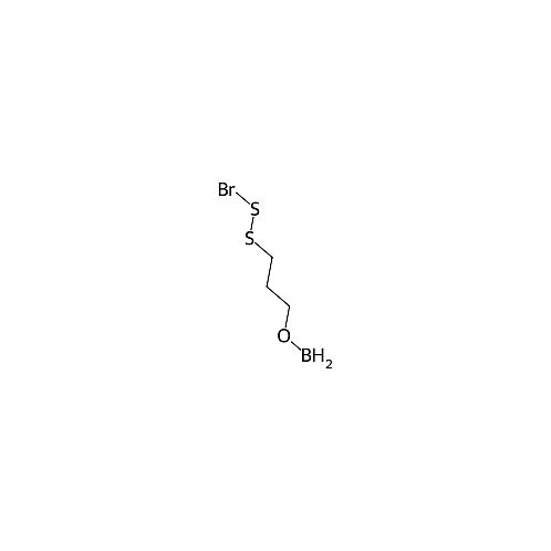 BOCCCSSBr